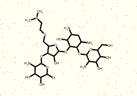 CCC1OC(OC2C(COCCN(C)C)OC(OC3C(O)C(N)CC(N)C3OC3OC(CO)C(O)C(O)C3N)C2O)C(N)C(O)C1O